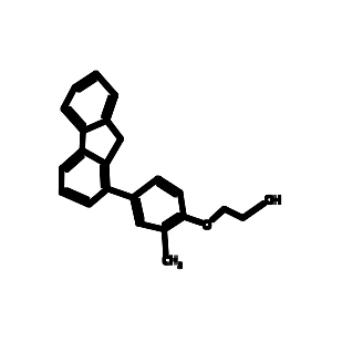 Cc1cc(-c2cccc3c2Cc2ccccc2-3)ccc1OCCO